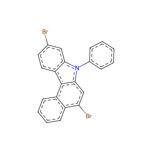 Brc1ccc2c3c4ccccc4c(Br)cc3n(-c3ccccc3)c2c1